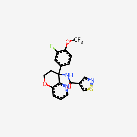 O=C(NC1(c2ccc(OC(F)(F)F)c(F)c2)CCOc2cccnc21)c1cnsc1